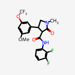 COc1cc(OC(F)(F)F)cc(C2CN(C)C(=O)C2C(=O)Nc2cccc(F)c2F)c1